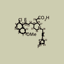 COc1ccc2ncc(Cl)c([C@H](F)CCC3CCN(CC#Cc4ccc(F)s4)CC3CC(=O)O)c2c1